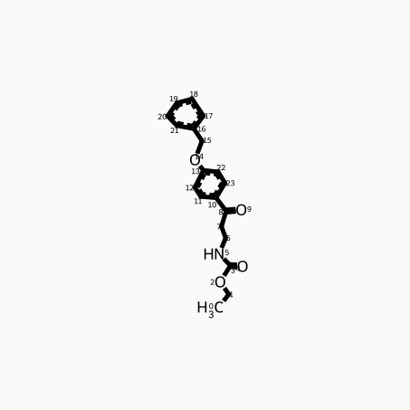 CCOC(=O)NCCC(=O)c1ccc(OCc2ccccc2)cc1